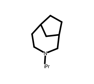 CC(C)N1CCC2CCC(C2)C1